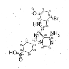 COC1=CC=C(Br)C2C=C(c3nc([C@H]4CC[C@H](C(=O)O)CC4)n4ccnc(N)c34)NC12